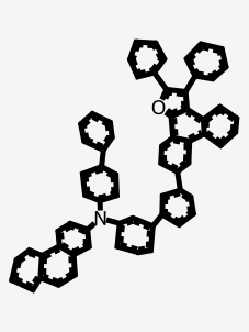 c1ccc(-c2ccc(N(c3cccc(-c4cccc(-c5ccc6c(c5)c5ccccc5c5c(-c7ccccc7)c(-c7ccccc7)oc65)c4)c3)c3ccc4c(ccc5ccccc54)c3)cc2)cc1